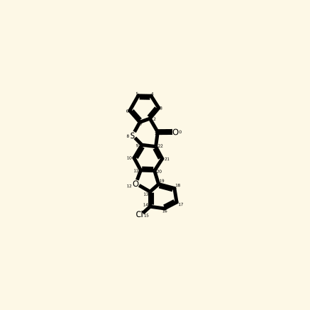 O=c1c2ccccc2sc2cc3oc4c(Cl)cccc4c3cc12